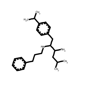 CC(C)CC(N)C(Cc1ccc(C(C)C)cc1)NCCCc1ccccc1